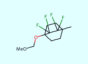 COCOC12CCC(C)(CC1)C(F)(F)C2(F)F